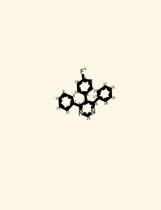 Fc1ccc(-c2c(-c3ccccc3)ncnc2-c2ccccc2)cc1